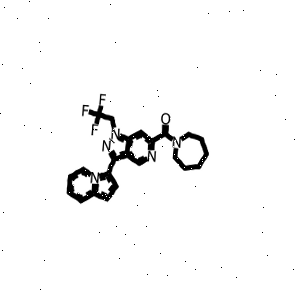 O=C(c1cc2c(cn1)c(-c1ccc3ccccn13)nn2CC(F)(F)F)N1CCCCCC1